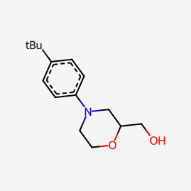 CC(C)(C)c1ccc(N2CCOC(CO)C2)cc1